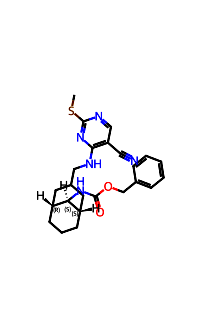 CSc1ncc(C#N)c(NCC2C[C@H]3CCC[C@@H](C2)[C@@H]3NC(=O)OCc2ccccc2)n1